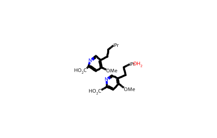 COc1cc(C(=O)O)ncc1CCC(C)C.COc1cc(C(=O)O)ncc1CCC(C)C.O